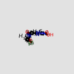 C[C@H]1CN(C(=O)CO)CCN1c1ncc(-c2ccc3c(=O)n(C)n(Cc4ccccc4OC(F)F)c3c2)cn1